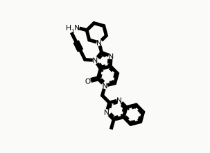 CC#CCn1c(N2CCCC(N)C2)nc2ccn(Cc3nc(C)c4ccccc4n3)c(=O)c21